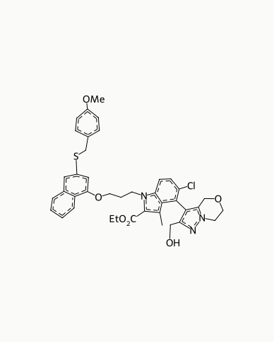 CCOC(=O)c1c(C)c2c(-c3c(CO)nn4c3COCC4)c(Cl)ccc2n1CCCOc1cc(SCc2ccc(OC)cc2)cc2ccccc12